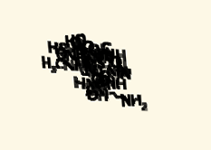 C[C@H](N)C(=O)N[C@@H](CS)C(=O)N[C@@H](CO)C(=O)N[C@@H](CO)C(=O)N1CCC[C@H]1C(=O)N[C@@H](CO)C(=O)N[C@@H](CCCCN)C(=O)N[C@@H](Cc1c[nH]cn1)C(=O)N[C@@H](CS)C(=O)NCC(=O)O